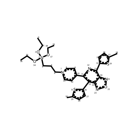 CCO[Si](CCC[n+]1ccc(-c2nc(-c3ccc(C)s3)c3nonc3c2-c2ccc(C)s2)cc1)(OCC)OCC